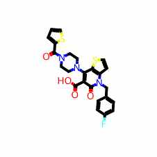 O=C(O)c1c(N2CCN(C(=O)c3cccs3)CC2)c2sccc2n(Cc2ccc(F)cc2)c1=O